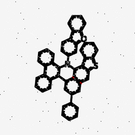 c1ccc(-c2cccc(-c3c(N(c4ccc5c(c4)oc4ccccc45)c4cccc5sc6ccccc6c45)c4ccccc4c4ccccc34)c2)cc1